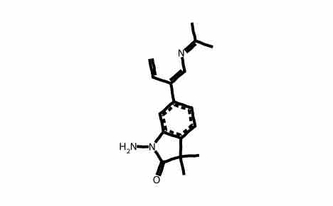 C=C/C(=C\N=C(C)C)c1ccc2c(c1)N(N)C(=O)C2(C)C